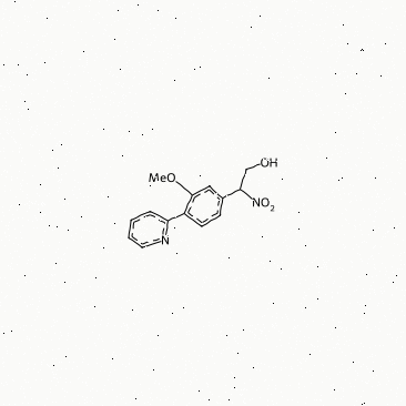 COc1cc(C(CO)[N+](=O)[O-])ccc1-c1ccccn1